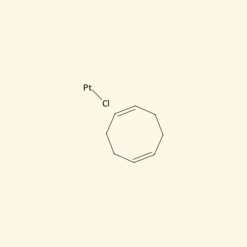 C1=CCCC=CCC1.[Cl][Pt]